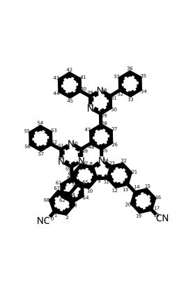 N#Cc1ccc(-c2ccc3c(c2)c2cc(-c4ccc(C#N)cc4)ccc2n3-c2ccc(-c3cc(-c4ccccc4)nc(-c4ccccc4)n3)cc2-c2nc(-c3ccccc3)nc(-c3ccccc3)n2)cc1